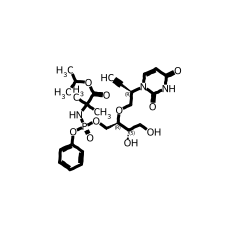 C#C[C@H](CO[C@H](COP(=O)(NC(C)(C)C(=O)OC(C)C)Oc1ccccc1)[C@@H](O)CO)n1ccc(=O)[nH]c1=O